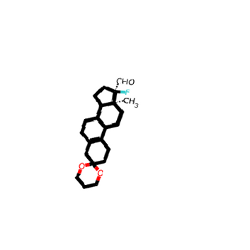 C[C@]12CCC3C4=C(CCC3C1CC[C@]2(F)C=O)CC1(CC4)OCCCO1